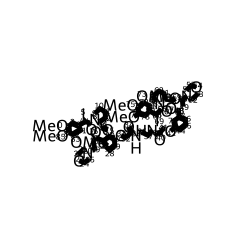 COc1cc([C@H](I)C(=O)N2CCCC[C@H]2C(=O)O[C@H](CCN2CCOCC2)c2cccc(OCC(=O)NCCNC(=O)COc3cccc([C@@H](CCN4CCOCC4)OC(=O)[C@@H]4CCCCN4C(=O)[C@@H](I)c4cc(OC)c(OC)c(OC)c4)c3)c2)cc(OC)c1OC